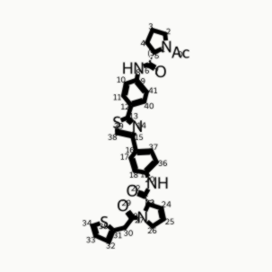 CC(=O)N1CCC[C@H]1C(=O)Nc1ccc(-c2nc(-c3ccc(NC(=O)[C@@H]4C=CCN4C(=O)Cc4cccs4)cc3)cs2)cc1